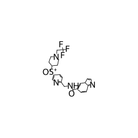 O=C(NCc1ccc([S+]([O-])C2CCN(CC(F)(F)F)CC2)cn1)C1=CC2C=CN=C2C=C1